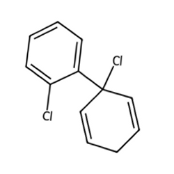 Clc1ccccc1C1(Cl)C=CCC=C1